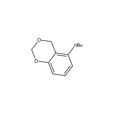 C[CH]CCc1cccc2c1COCO2